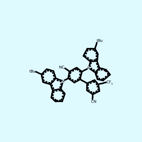 CC(C)(C)c1ccc2c(c1)c1ccccc1n2-c1cc(-c2cc(C#N)cc(C(F)(F)F)c2)c(-n2c3ccccc3c3cc(C(C)(C)C)ccc32)cc1C#N